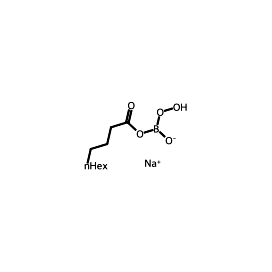 CCCCCCCCCC(=O)OB([O-])OO.[Na+]